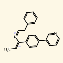 C/C=C(\N=C/Cc1ccccn1)c1ccc(-c2cccnc2)cc1